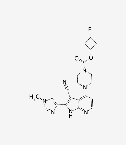 Cn1cnc(-c2[nH]c3nccc(N4CCN(C(=O)O[C@H]5C[C@@H](F)C5)CC4)c3c2C#N)c1